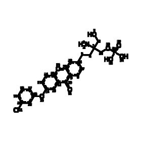 NC(CO)(CCc1ccc2c(=O)c3cc(Oc4cccc(Cl)c4)ccc3oc2c1)COP(=O)(O)O